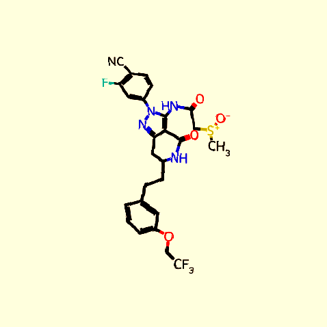 C[S+]([O-])CC(=O)Nc1c2c(nn1-c1ccc(C#N)c(F)c1)CC(CCc1cccc(OCC(F)(F)F)c1)NC2=O